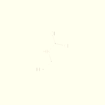 CCBC(Cl)Cl